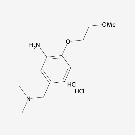 COCCOc1ccc(CN(C)C)cc1N.Cl.Cl